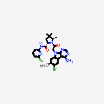 COc1cc2c(cc1Br)c1c(N)ncnc1n2CC(=O)N1[C@H](C(=O)Nc2cccc(Br)n2)CC(C)(C)[C@H]1C